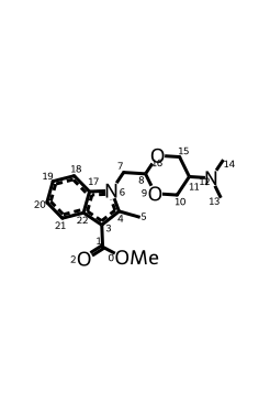 COC(=O)c1c(C)n(CC2OCC(N(C)C)CO2)c2ccccc12